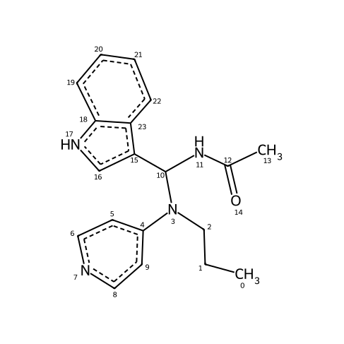 CCCN(c1ccncc1)C(NC(C)=O)c1c[nH]c2ccccc12